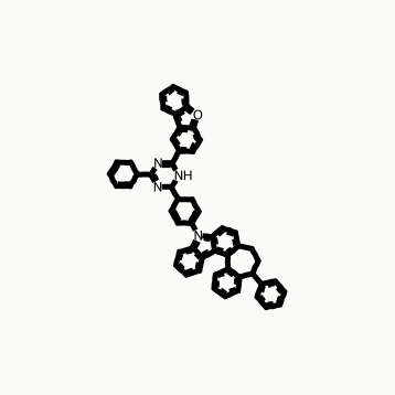 C1=CCC(C2=NC(C3C=CC(n4c5ccccc5c5c6c(ccc54)CCC(c4ccccc4)c4ccccc4-6)=CC3)NC(c3ccc4oc5ccccc5c4c3)=N2)C=C1